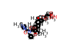 CC(C)C1=C2[C@H]3CC[C@@H]4[C@@]5(C)CC[C@@H](OC(=O)CC(C)(C)C(=O)O)C(C)(C)[C@@H]5CC[C@@]4(C)[C@]3(C)CC[C@@]2([C@@H](O)CN(CC(=O)N2CCN(C)CC2)Cc2ccccc2)CC1=O